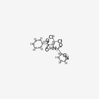 O=C(NC(=C(Cl)Cl)S(=O)(=O)c1ccccc1)c1cccnc1